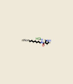 CCCCCCCCCCCCCCCCNC(=O)[C@H]1CCNC1.Cl